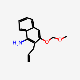 C=CCc1c(OCOC)cc2ccccc2c1N